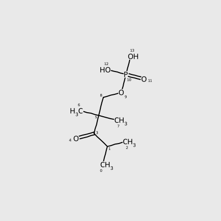 CC(C)C(=O)C(C)(C)COP(=O)(O)O